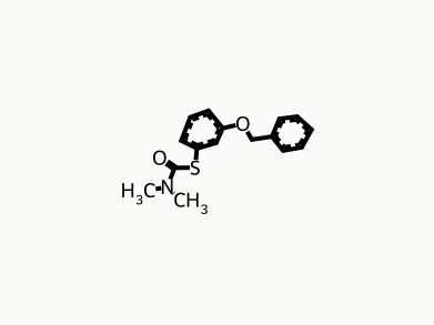 CN(C)C(=O)Sc1cccc(OCc2ccccc2)c1